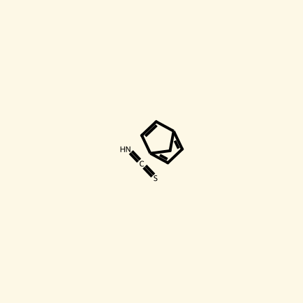 C1=CC2=CC=C1C2.N=C=S